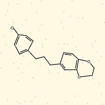 Clc1ccc(CCCc2ccc3c(c2)OCCO3)cc1